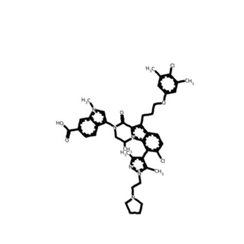 Cc1cc(OCCCc2c3n(c4c(-c5c(C)nn(CCN6CCCC6)c5C)c(Cl)ccc24)C(C)CN(c2cn(C)c4cc(C(=O)O)ccc24)C3=O)cc(C)c1Cl